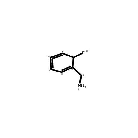 NCC1=CC=C=CC1F